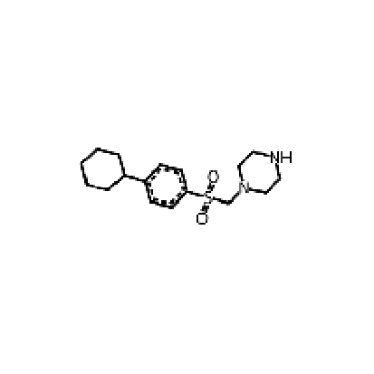 O=S(=O)(CN1CCNCC1)c1ccc(C2CCCCC2)cc1